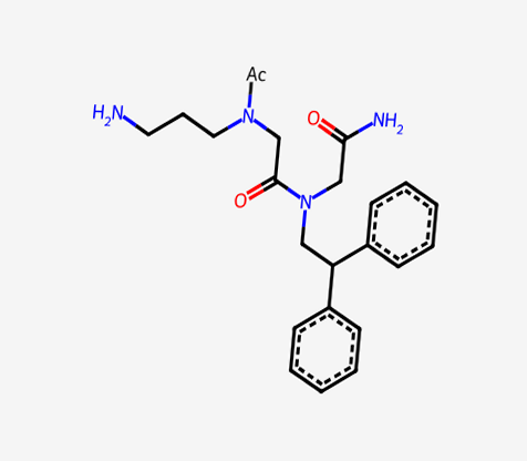 CC(=O)N(CCCN)CC(=O)N(CC(N)=O)CC(c1ccccc1)c1ccccc1